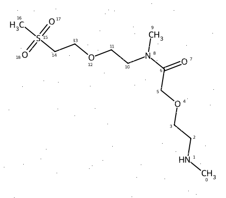 CNCCOCC(=O)N(C)CCOCCS(C)(=O)=O